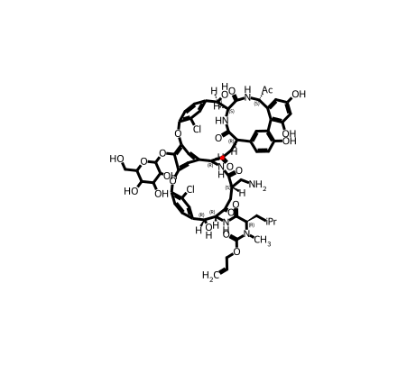 C=CCOC(=O)N(C)[C@H](CC(C)C)C(=O)N[C@H]1C(=O)C[C@@H](CN)C(=O)N[C@H]2C(=O)C[C@H]3C(=O)N[C@H](C(=O)N[C@H](C(C)=O)c4cc(O)cc(O)c4-c4cc3ccc4O)[C@H](O)c3ccc(c(Cl)c3)Oc3cc2cc(c3OC2OC(CO)C(O)C(O)C2O)Oc2ccc(cc2Cl)[C@H]1O